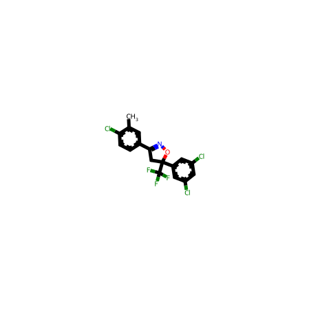 Cc1cc(C2=NOC(c3cc(Cl)cc(Cl)c3)(C(F)(F)F)C2)ccc1Cl